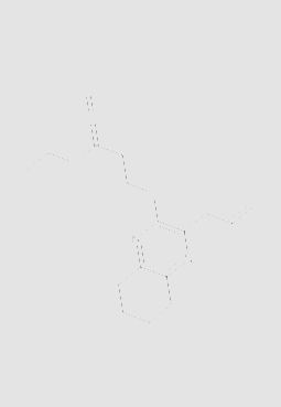 C=CCc1nc2c(nc1OCCC(=C=O)OCC)CCCC2